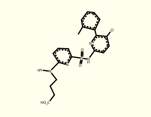 CCCN(CCCC(=O)O)c1cccc(S(=O)(=O)Nc2ccc(Cl)c(-c3ccccc3C)n2)n1